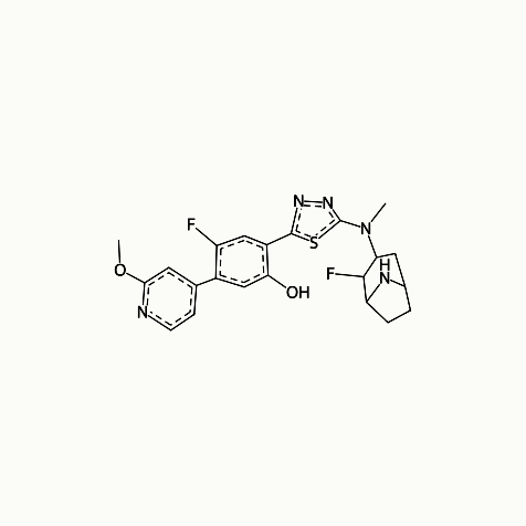 COc1cc(-c2cc(O)c(-c3nnc(N(C)C4CC5CCC(N5)C4F)s3)cc2F)ccn1